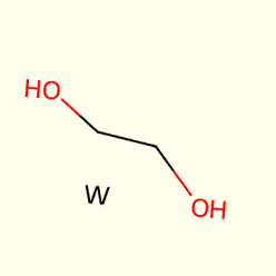 OCCO.[W]